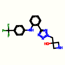 OC1(Cn2nnc(-c3ccccc3Nc3ccc(C(F)(F)F)cc3)n2)CNC1